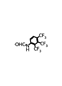 O=[C]Nc1ccc(C(F)(F)F)c(C(F)(F)F)c1C(F)(F)F